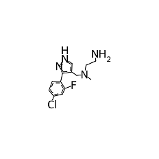 CN(CCN)Cc1c[nH]nc1-c1ccc(Cl)cc1F